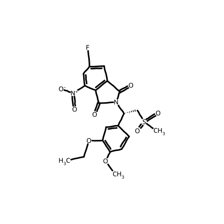 CCOc1cc([C@@H](CS(C)(=O)=O)N2C(=O)c3cc(F)cc([N+](=O)[O-])c3C2=O)ccc1OC